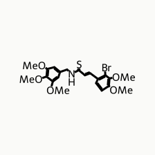 COc1cc(CNC(=S)C=Cc2ccc(OC)c(OC)c2Br)cc(OC)c1OC